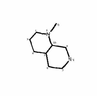 CN1CCCC2CC[N]CC21